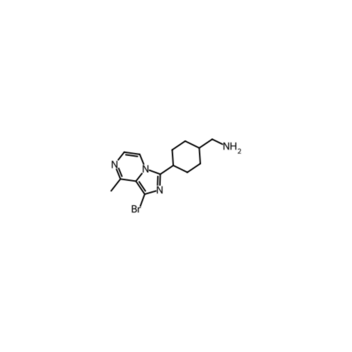 Cc1nccn2c(C3CCC(CN)CC3)nc(Br)c12